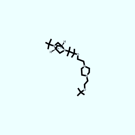 CC(C)(C)OCCN1CCN(CCOC(C)(C)C(C)(C)N2C[C@H]3C[C@@H]2CN3C(C)(C)C)CC1